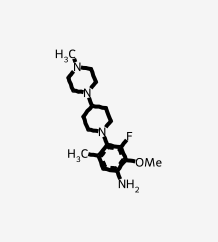 COc1c(N)cc(C)c(N2CCC(N3CCN(C)CC3)CC2)c1F